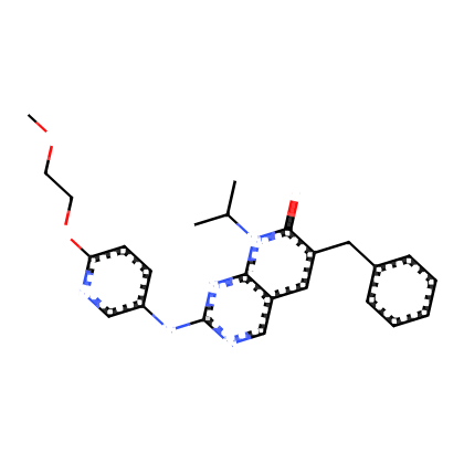 COCCOc1ccc(Nc2ncc3cc(Cc4ccccc4)c(=O)n(C(C)C)c3n2)cn1